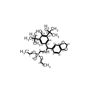 CCOP(=O)(CNC(c1ccc2c(c1)OCO2)c1cc(C(C)(C)C)c(O)c(C(C)(C)C)c1)OCC